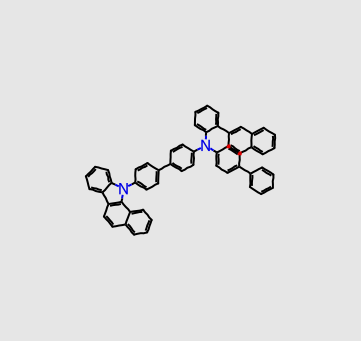 c1ccc(-c2ccc(N(c3ccc(-c4ccc(-n5c6ccccc6c6ccc7ccccc7c65)cc4)cc3)c3ccccc3-c3ccc4ccccc4c3)cc2)cc1